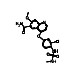 CNS(=O)(=O)Nc1ccc(Oc2ccnc3cc(OC)c(C(N)=O)cc23)cc1Cl